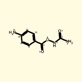 NC(=O)NOC(=O)c1ccc(N)cc1